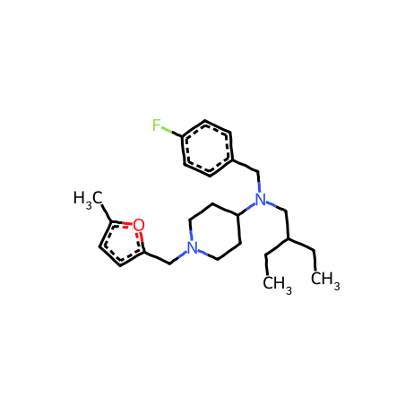 CCC(CC)CN(Cc1ccc(F)cc1)C1CCN(Cc2ccc(C)o2)CC1